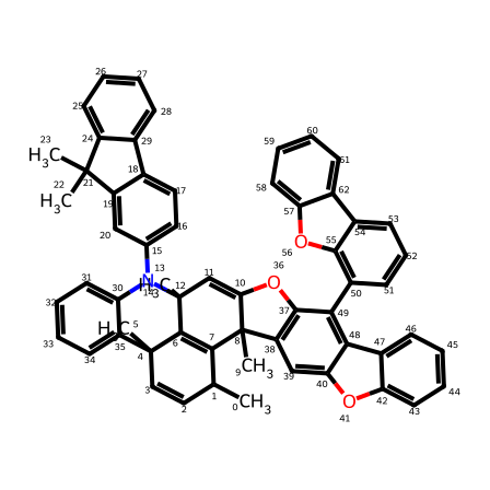 CC1C=CC2(C)C3=C1C1(C)C(=CC3(C)N(c3ccc4c(c3)C(C)(C)c3ccccc3-4)c3ccccc32)Oc2c1cc1oc3ccccc3c1c2-c1cccc2c1oc1ccccc12